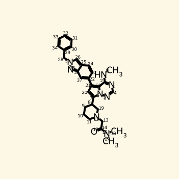 CNc1ncnn2c(C3CCCN(CC(=O)N(C)C)C3)cc(-c3ccc4cn(Cc5ccccc5)nc4c3)c12